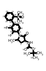 CC1CC(NC(=O)OC(C)(C)C)C(=O)N1c1ccc(-c2ccccc2P(C)(C)=O)c(F)c1F